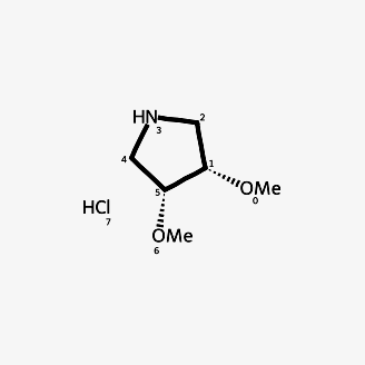 CO[C@H]1CNC[C@H]1OC.Cl